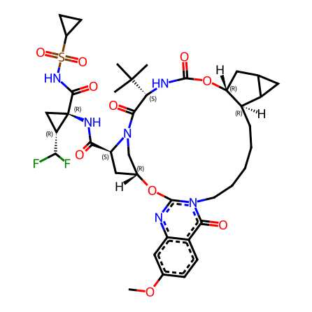 COc1ccc2c(=O)n3c(nc2c1)O[C@@H]1C[C@@H](C(=O)N[C@]2(C(=O)NS(=O)(=O)C4CC4)C[C@H]2C(F)F)N(C1)C(=O)[C@H](C(C)(C)C)NC(=O)O[C@@H]1CC2CC2[C@H]1CCCCC3